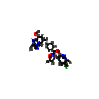 COc1cc(C[C@H]2CC[C@H](C(=O)N3OCC[C@H]3c3cnc(C)c(F)c3)CC2)cn2nc(C)nc12